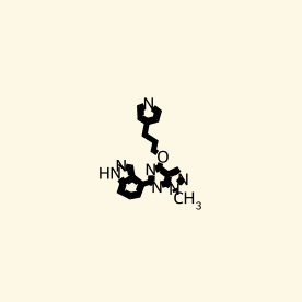 Cn1ncc2c(OCCCc3ccncc3)nc(-c3cccc4[nH]ncc34)nc21